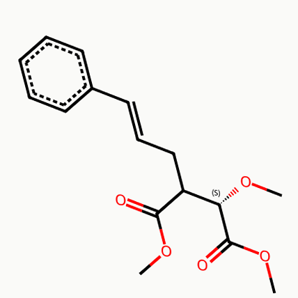 COC(=O)C(CC=Cc1ccccc1)[C@H](OC)C(=O)OC